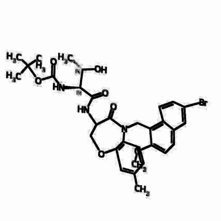 COc1ccc2cc(Br)ccc2c1CN1C(=O)C(NC(=O)[C@@H](NC(=O)OC(C)(C)C)[C@H](C)O)COc2cc(C)ccc21